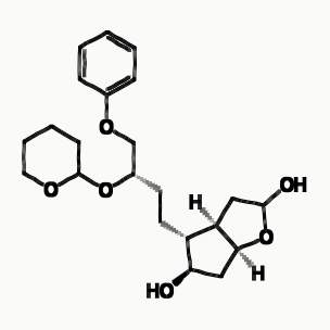 OC1C[C@@H]2[C@@H](CC[C@@H](COc3ccccc3)OC3CCCCO3)[C@H](O)C[C@@H]2O1